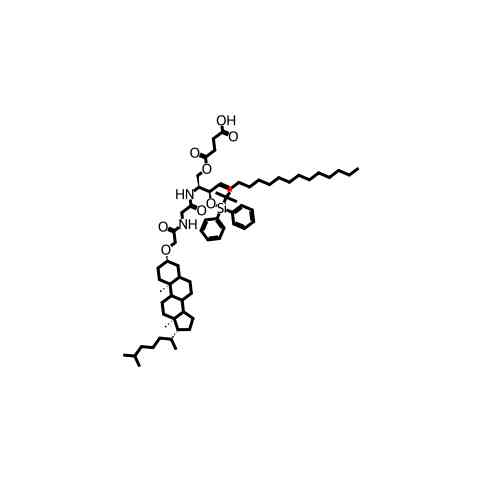 CCCCCCCCCCCCC/C=C/[C@@H](O[Si](c1ccccc1)(c1ccccc1)C(C)(C)C)[C@H](COC(=O)CCC(=O)O)NC(=O)CNC(=O)CO[C@H]1CC[C@@]2(C)C(CCC3C2CC[C@@]2(C)C3CC[C@@H]2C(C)CCCC(C)C)C1